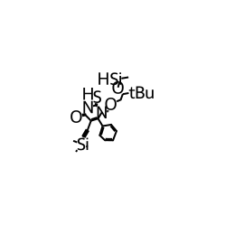 C[SiH](C)OC(COCn1c(-c2ccccc2)c(C#C[Si](C)(C)C)c(=O)[nH]c1=S)C(C)(C)C